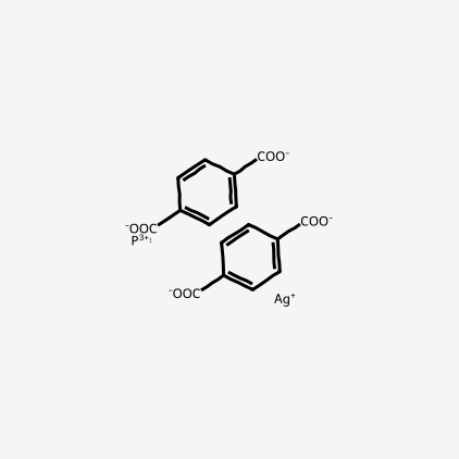 O=C([O-])c1ccc(C(=O)[O-])cc1.O=C([O-])c1ccc(C(=O)[O-])cc1.[Ag+].[P+3]